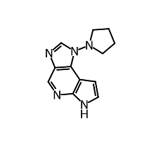 c1cc2c(ncc3ncn(N4CCCC4)c32)[nH]1